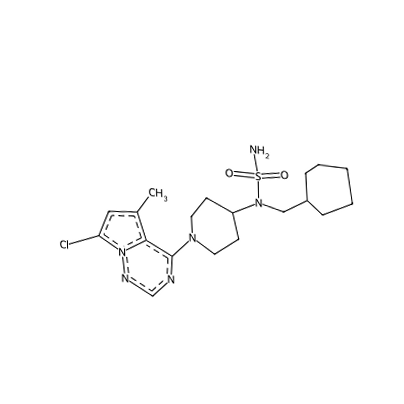 Cc1cc(Cl)n2ncnc(N3CCC(N(CC4CCCCC4)S(N)(=O)=O)CC3)c12